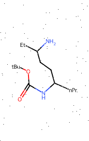 CCCC(CCC(N)CC)NC(=O)OC(C)(C)C